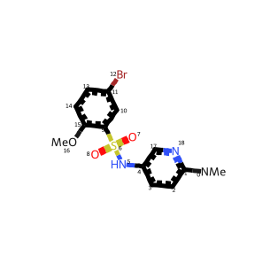 CNc1ccc(NS(=O)(=O)c2cc(Br)ccc2OC)cn1